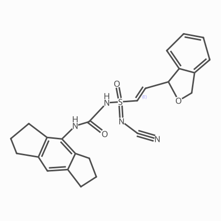 N#CN=S(=O)(/C=C/C1OCc2ccccc21)NC(=O)Nc1c2c(cc3c1CCC3)CCC2